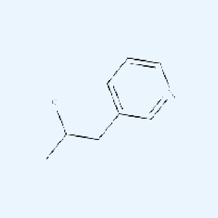 CC(S)Cc1cccnc1